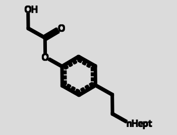 CCCCCCCCCc1ccc(OC(=O)CO)cc1